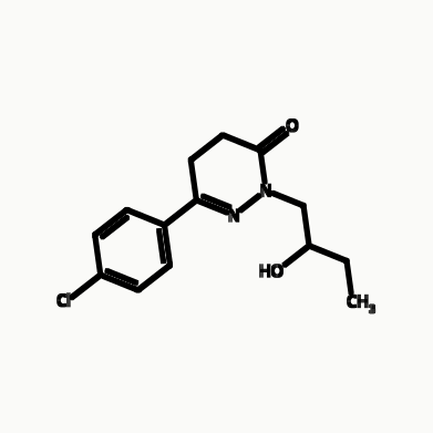 CCC(O)CN1N=C(c2ccc(Cl)cc2)CCC1=O